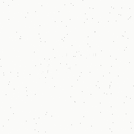 CC(C)(CCP1(=O)OCCO1)c1ccc(O)cc1